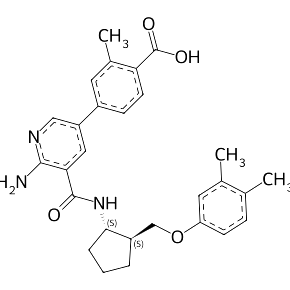 Cc1ccc(OC[C@H]2CCC[C@@H]2NC(=O)c2cc(-c3ccc(C(=O)O)c(C)c3)cnc2N)cc1C